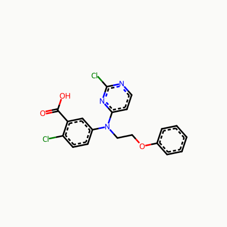 O=C(O)c1cc(N(CCOc2ccccc2)c2ccnc(Cl)n2)ccc1Cl